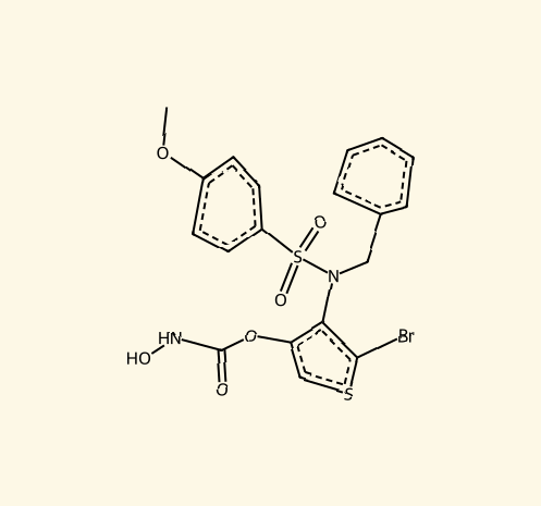 COc1ccc(S(=O)(=O)N(Cc2ccccc2)c2c(OC(=O)NO)csc2Br)cc1